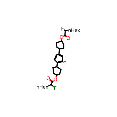 CCCCCCC(F)C(=O)OC1CCC(c2ccc(C3CCC(OC(=O)C(F)CCCCCC)CC3)c(F)c2)CC1